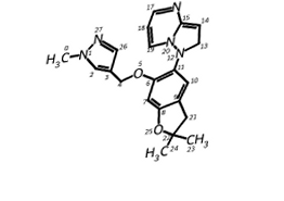 Cn1cc(COc2cc3c(cc2N2CC=C4N=CC=CN42)CC(C)(C)O3)cn1